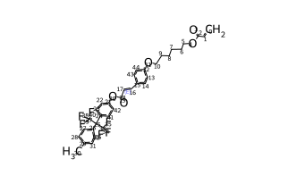 C=CC(=O)OCCCCCCOc1ccc(/C=C/C(=O)Oc2ccc(C(c3ccc(C)cc3)(C(F)(F)F)C(F)(F)F)cc2)cc1